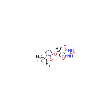 CC(C)(C)c1cccn(OCC(C)(C)C2C(=O)NC(=O)NC2=O)c1=O